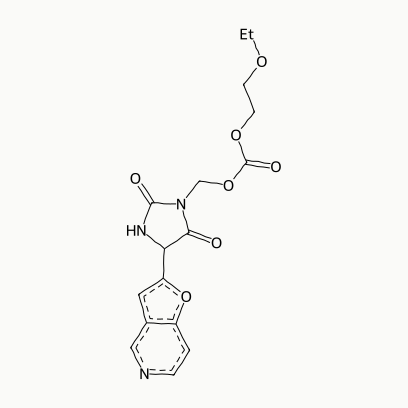 CCOCCOC(=O)OCN1C(=O)NC(c2cc3cnccc3o2)C1=O